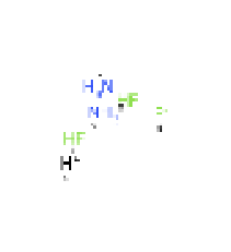 F.F.N.N.[F-].[H+]